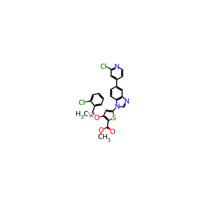 COC(=O)c1sc(-n2cnc3cc(-c4ccnc(Cl)c4)ccc32)cc1O[C@H](C)c1ccccc1Cl